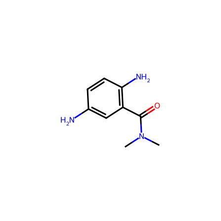 CN(C)C(=O)c1cc(N)ccc1N